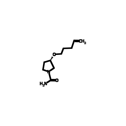 C=CCCCO[C@H]1CCN(C(N)=O)C1